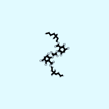 CCCCC(C)(C)CCOC(=O)c1c(Cl)c(Cl)cc(Cl)c1OC(=O)C(=O)Oc1c(Cl)cc(Cl)c(Cl)c1C(=O)OCCC(C)(C)CCCC